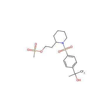 CC(O)(c1ccc(S(=O)(=O)N2CCCCC2CCOS(C)(=O)=O)cc1)C(F)(F)F